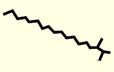 [CH2]C(C)C(C)CCCCCCCCCCCCCCC